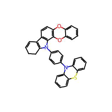 C1=Cc2c(n(-c3ccc(N4c5ccccc5Sc5ccccc54)cc3)c3c4c(ccc23)Oc2ccccc2O4)CC1